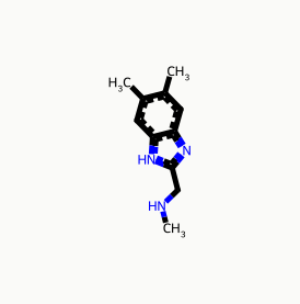 CNCc1nc2cc(C)c(C)cc2[nH]1